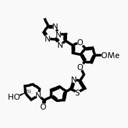 COc1cc(OCc2csc(-c3ccc(C(=O)N4CCC[C@H](O)C4)cc3)n2)c2cc(-c3cn4nc(C)cnc4n3)oc2c1